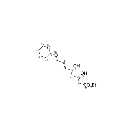 CCOC(=O)CC(O)CC(O)/C=C/COC1CCCCO1